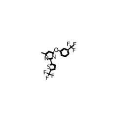 Cc1cc(Oc2cccc(C(F)(F)F)c2)nc(-c2ccc(C(F)(F)F)s2)n1